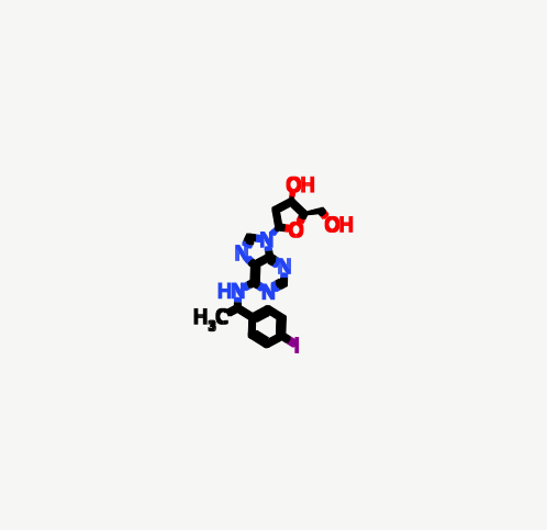 CC(Nc1ncnc2c1ncn2[C@H]1C[C@@H](O)[C@@H](CO)O1)c1ccc(I)cc1